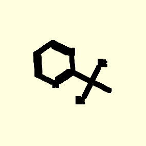 CCC(C)(CC)c1ncccn1